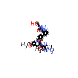 COc1ccc2c(c1)CC[C@@H](NC(=O)CC(C)(C)N)C(=O)N2Cc1ccc(-c2ccccc2CNC(=O)NCCO)cc1